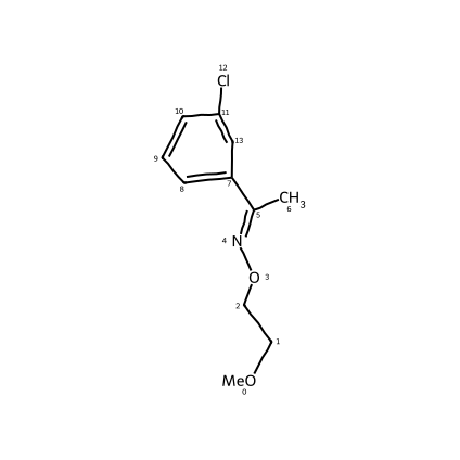 COCCO/N=C(\C)c1cccc(Cl)c1